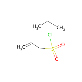 C=CCS(=O)(=O)Cl.CCC